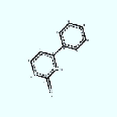 O=c1nccc(-c2ccccc2)o1